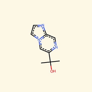 CC(C)(O)c1cn2ccnc2cn1